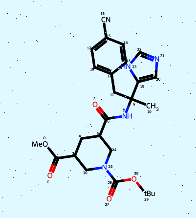 COC(=O)C1CC(C(=O)NC(C)(Cc2ccc(C#N)cc2)c2cnc[nH]2)CN(C(=O)OC(C)(C)C)C1